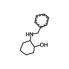 OC1CCCCC1NCc1ccccc1